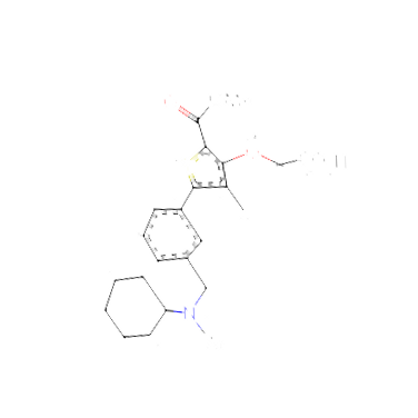 COC(=O)c1sc(-c2cccc(CN(C(C)=O)C3CCCCC3)c2)c(C)c1OCC(=O)O